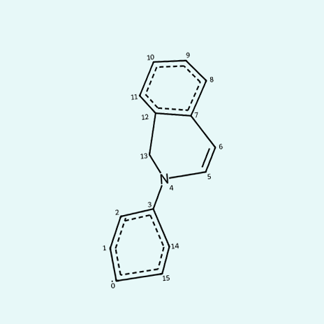 [c]1ccc(N2C=Cc3ccccc3C2)cc1